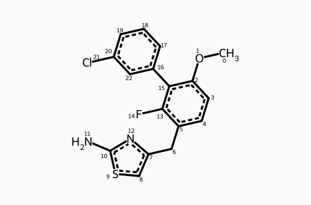 COc1ccc(Cc2csc(N)n2)c(F)c1-c1cccc(Cl)c1